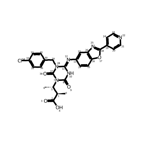 C[C@@H](C(=O)O)[C@H](C)n1c(=O)[nH]/c(=N\c2ccc3oc(-c4ccncc4)nc3c2)n(Cc2ccc(Cl)cc2)c1=O